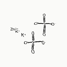 O=S(=O)([O-])[O-].O=S(=O)([O-])[O-].[K+].[K+].[Zn+2]